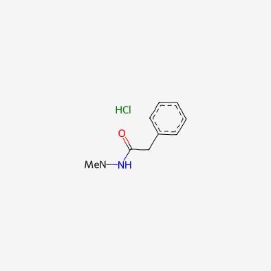 CNNC(=O)Cc1ccccc1.Cl